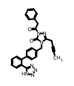 CC#CCc1nn(C(=O)Cc2ccccc2)c(=O)n1Cc1ccc(-c2ccccc2-c2nnn[nH]2)cc1